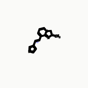 CN1CN2C=CC=C(/C=C/c3ccsc3)C2=N1